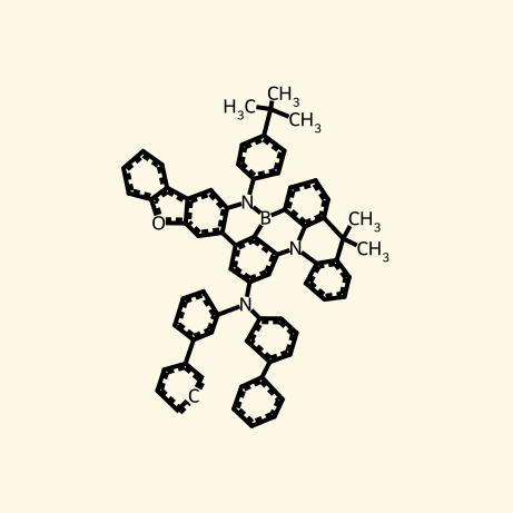 CC(C)(C)c1ccc(N2B3c4cccc5c4N(c4ccccc4C5(C)C)c4cc(N(c5cccc(-c6ccccc6)c5)c5cccc(-c6ccccc6)c5)cc(c43)-c3cc4oc5ccccc5c4cc32)cc1